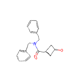 O=C1CC(C(=O)N(Cc2ccccc2)Cc2ccccc2)C1